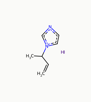 C=CC(C)n1ccnc1.I